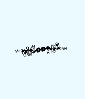 COCC[C@H](NC(=O)OC)C(=O)N[C@@H](c1ncc(-c2ccc(-c3ccc(-c4cnc([C@H](NC(=O)[C@H](CCOC)NC5OCO5)C(C)C)[nH]4)cc3)cc2)[nH]1)C(C)C